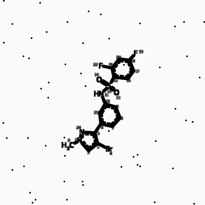 Cn1cc(Br)c(-c2cccc(NS(=O)(=O)c3ccc(F)cc3F)c2)n1